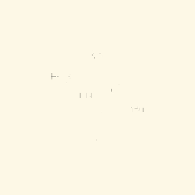 CCCCc1ccccc1C(=O)N[C@@H](CS(=O)(=O)O)C(=O)O